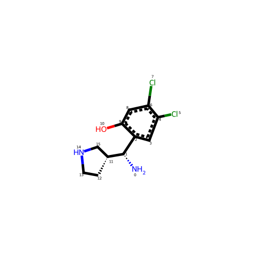 N[C@@H](c1cc(Cl)c(Cl)cc1O)[C@@H]1CCNC1